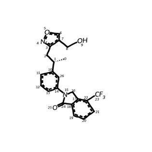 C[C@@H](Cc1nocc1CO)c1cccc(N2Cc3c(cccc3C(F)(F)F)C2=O)c1